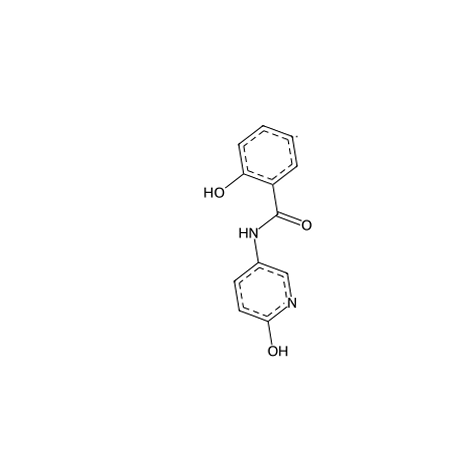 O=C(Nc1ccc(O)nc1)c1c[c]ccc1O